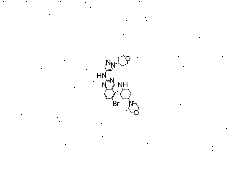 Brc1ccc2nc(Nc3cnn(C4CCOCC4)c3)nc(N[C@H]3CC[C@H](N4CCOCC4)CC3)c2c1